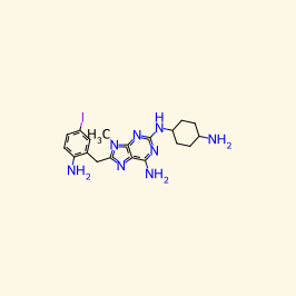 Cn1c(Cc2cc(I)ccc2N)nc2c(N)nc(NC3CCC(N)CC3)nc21